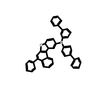 C1=CC2Oc3cc(-c4ccccc4)c4ccccc4c3C2C=C1N(c1ccc(-c2ccccc2)cc1)c1cccc(-c2ccccc2)c1